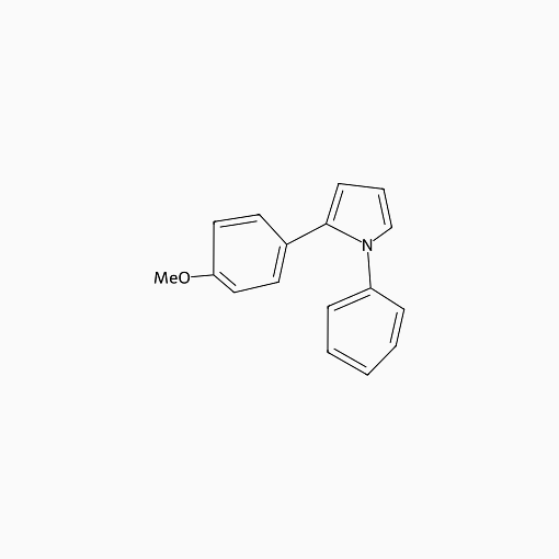 COc1ccc(-c2cccn2-c2ccccc2)cc1